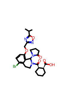 CC(C)c1nc(COc2ccc(Br)c3c2C(N2CCCC2=O)N(C(=O)[C@@H]2CCCC[C@@H]2C(=O)O)CC3)no1